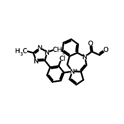 Cc1nc(-c2cccc([N+]34C=CCC3=CN(C(=O)C=O)c3ccccc3C4)c2Cl)n(C)n1